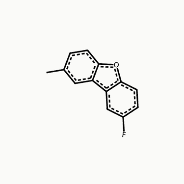 Cc1ccc2oc3ccc(F)cc3c2c1